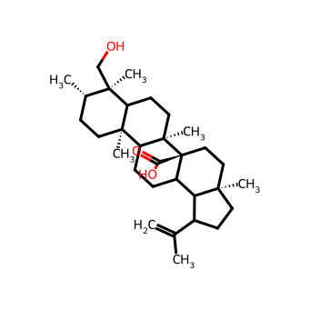 C=C(C)C1CC[C@]2(C)CC[C@]3(C(=O)O)C(CCC4[C@@]5(C)CC[C@H](C)[C@@](C)(CO)C5CC[C@]43C)C12